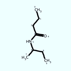 CC[CH]C(=O)NC(C)CC